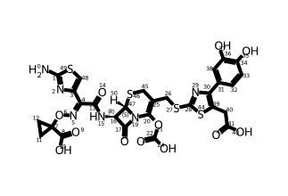 Nc1nc(C(=NOC2(C(=O)O)CC2)C(=O)N[C@@H]2C(=O)N3C(OC(=O)O)=C(CSc4nc(-c5ccc(O)c(O)c5)c(CC(=O)O)s4)CS[C@@H]23)cs1